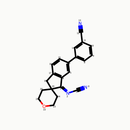 N#CN=C1c2cc(-c3cccc(C#N)c3)ccc2CC12CCOCC2